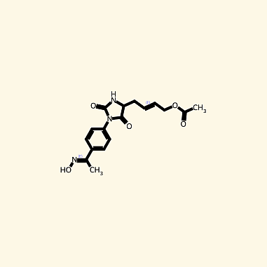 CC(=O)OC/C=C/CC1NC(=O)N(c2ccc(/C(C)=N/O)cc2)C1=O